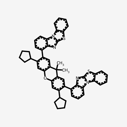 CC1(C)c2cc(-c3cccc4c3nc3sc5ccccc5n34)c(C3CCCC3)cc2Oc2cc(C3CCCC3)c(-c3cccc4c3nc3sc5ccccc5n34)cc21